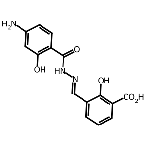 Nc1ccc(C(=O)NN=Cc2cccc(C(=O)O)c2O)c(O)c1